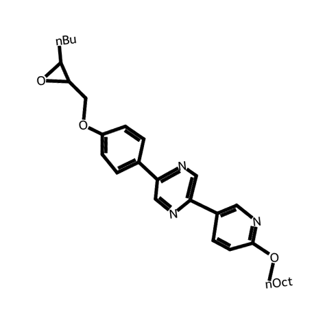 CCCCCCCCOc1ccc(-c2cnc(-c3ccc(OCC4OC4CCCC)cc3)cn2)cn1